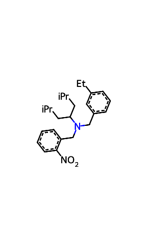 CCc1cccc(CN(Cc2ccccc2[N+](=O)[O-])C(CC(C)C)CC(C)C)c1